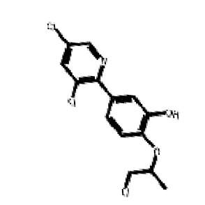 CC(CCl)Oc1ccc(-c2ncc(Cl)cc2Cl)cc1O